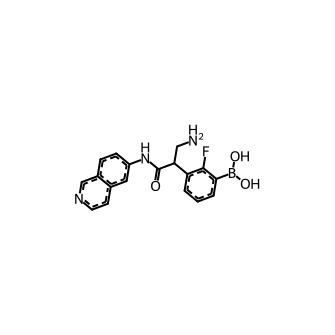 NCC(C(=O)Nc1ccc2cnccc2c1)c1cccc(B(O)O)c1F